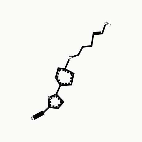 CC=CCCCOc1ccc(-c2ccc(C#N)s2)cc1